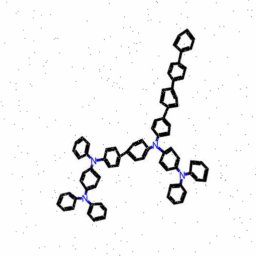 c1ccc(-c2ccc(-c3ccc(-c4ccc(N(c5ccc(-c6ccc(N(c7ccccc7)c7ccc(N(c8ccccc8)c8ccccc8)cc7)cc6)cc5)c5ccc(N(c6ccccc6)c6ccccc6)cc5)cc4)cc3)cc2)cc1